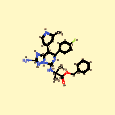 Cc1cc(-c2c(-c3ccc(F)cc3)nc(NC(C)(C)C(=O)OCc3ccccc3)n3nc(N)nc23)ccn1